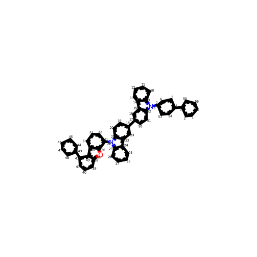 c1ccc(-c2ccc(-n3c4ccccc4c4cc(-c5ccc6c(c5)c5ccccc5n6-c5cccc6c5oc5cccc(-c7ccccc7)c56)ccc43)cc2)cc1